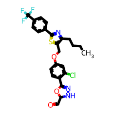 CCCCc1nc(-c2ccc(C(F)(F)F)cc2)sc1COc1ccc(C2=NNC(C=O)O2)c(Cl)c1